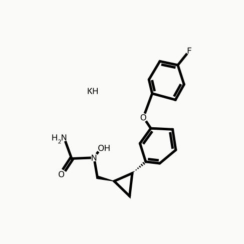 NC(=O)N(O)C[C@@H]1C[C@H]1c1cccc(Oc2ccc(F)cc2)c1.[KH]